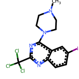 CN1CCN(c2nc(C(Cl)(Cl)Cl)nc3ccc(I)cc23)CC1